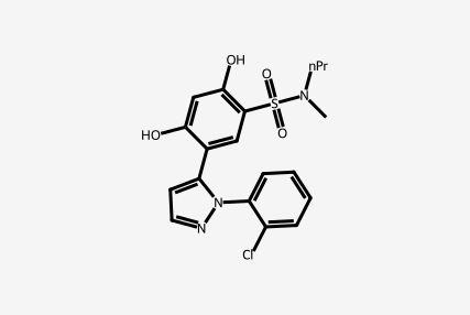 CCCN(C)S(=O)(=O)c1cc(-c2ccnn2-c2ccccc2Cl)c(O)cc1O